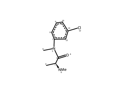 CN[C@@H](C)C(=O)N(C)c1cccc(Cl)c1